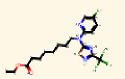 CCOC(=O)CCCCCCCN(c1ccc(F)cn1)c1nc(C(F)(F)F)ns1